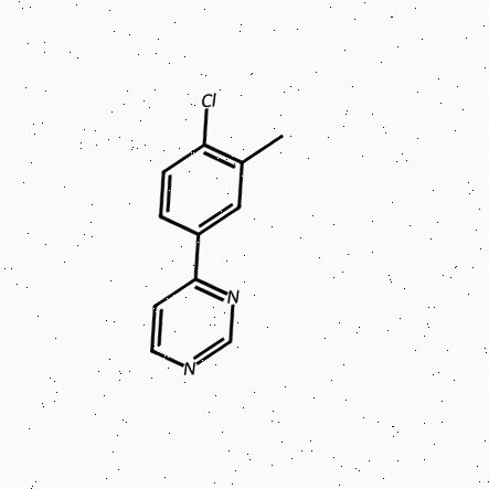 Cc1cc(-c2ccncn2)ccc1Cl